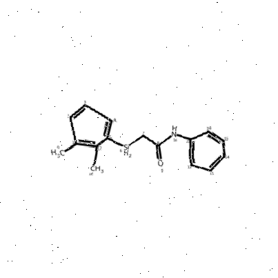 Cc1cccc([SiH2]CC(=O)Nc2ccccc2)c1C